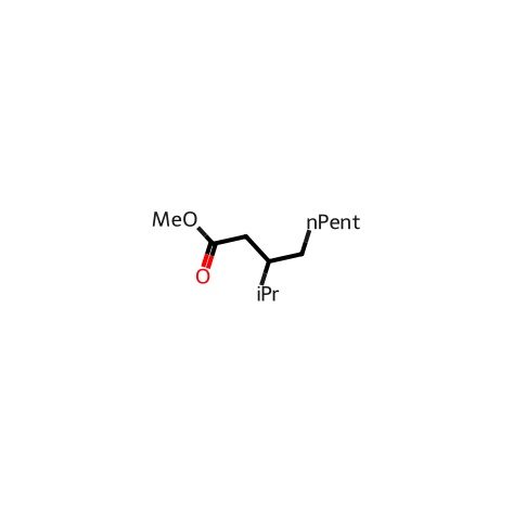 CCCCCCC(CC(=O)OC)C(C)C